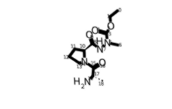 CCOC(=O)N(C)NC(=O)[C@@H]1CCCN1C(=O)[C@H](C)N